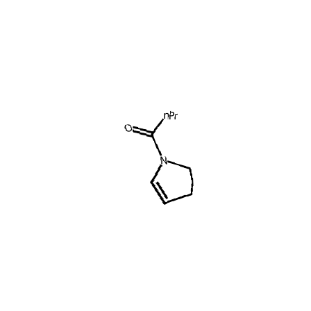 CCCC(=O)N1C=CCC1